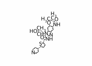 CC(C)(O)CCn1c(NC(=O)c2ccc(-c3ccncc3)s2)nc2cc3c(cc21)OC(C)(C)C(=O)N3